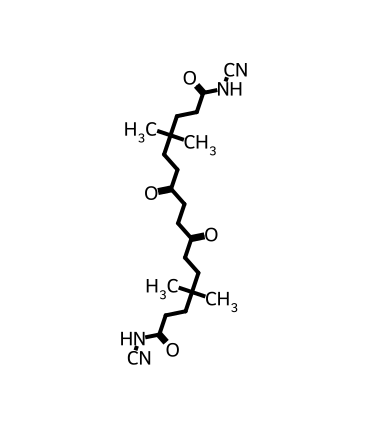 CC(C)(CCC(=O)CCC(=O)CCC(C)(C)CCC(=O)NC#N)CCC(=O)NC#N